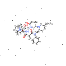 COC(=O)N(CCN1CCCC(NC(C)=O)C1)CC(O)CN1[C@@H]2CC[C@H]1C[C@@H](NC(=O)c1cc3ccccc3n(C(C)C)c1=O)C2